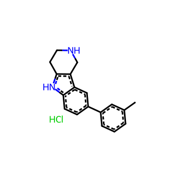 Cc1cccc(-c2ccc3[nH]c4c(c3c2)CNCC4)c1.Cl